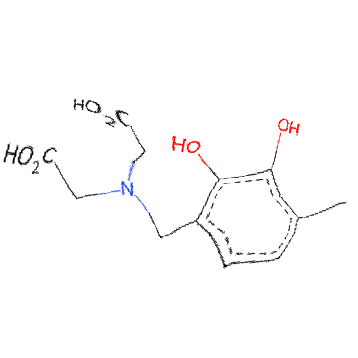 Cc1ccc(CN(CC(=O)O)CC(=O)O)c(O)c1O